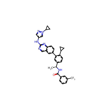 C[C@H](NC(=O)c1cccc(C(F)(F)F)c1)c1ccc(C2CC2)c(-c2ccc3nc(Nc4cnn(C5CC5)c4)ncc3c2)c1